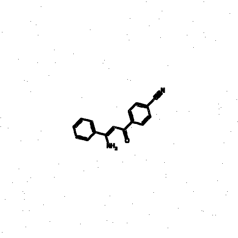 N#Cc1ccc(C(=O)/C=C(\N)c2ccccc2)cc1